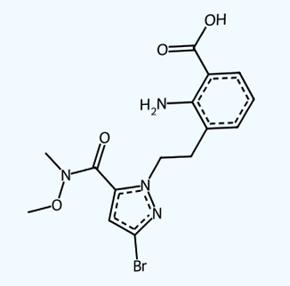 CON(C)C(=O)c1cc(Br)nn1CCc1cccc(C(=O)O)c1N